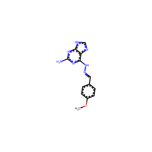 COc1ccc(C=NNc2nc(N)nc3[nH]cnc23)cc1